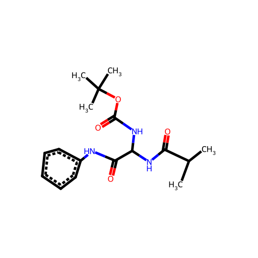 CC(C)C(=O)NC(NC(=O)OC(C)(C)C)C(=O)Nc1ccccc1